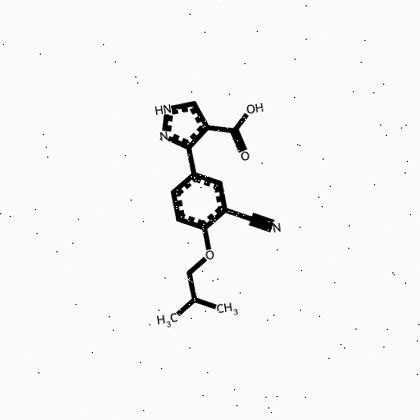 CC(C)COc1ccc(-c2n[nH]cc2C(=O)O)cc1C#N